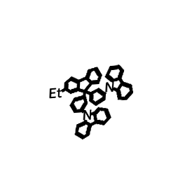 CCc1ccc2c(c1)C(c1cccc(-n3c4ccccc4c4ccccc43)c1)(c1cccc(-n3c4ccccc4c4ccccc43)c1)c1ccccc1-2